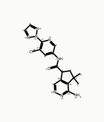 CC1(C)CC(C(=O)Nc2cnc(-n3nccn3)c(Cl)c2)c2cnnc(N)c21